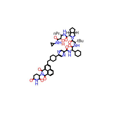 CCC[C@H](NC(=O)[C@@H]1[C@H]2CCC[C@H]2CN1C(=O)[C@@H](NC(=O)[C@@H](NC(=O)c1cnc(C2CCC(Cc3cc4c5c(cccc5c3)C(=O)N(C3CCC(=O)NC3=O)C4=O)CC2)cn1)C1CCCCC1)C(C)(C)C)C(O)C(=O)NC1CC1